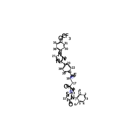 Cc1cccc(C)c1N1C(=O)CS/C1=N\C(=O)C/C=C(\F)c1ccc(-c2ncn(-c3ccc(OC(F)(F)F)cc3)n2)cc1